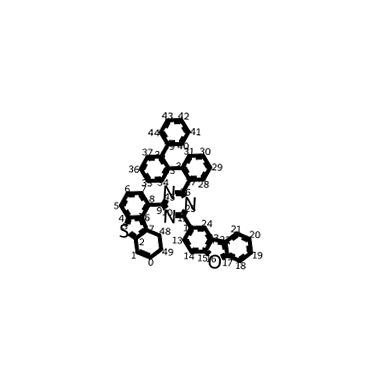 C1=Cc2sc3cccc(-c4nc(-c5ccc6oc7ccccc7c6c5)nc(-c5ccccc5-c5ccccc5-c5ccccc5)n4)c3c2CC1